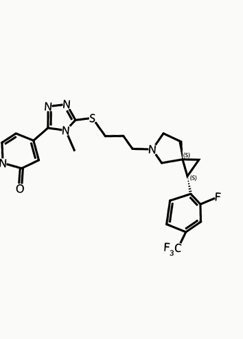 Cn1c(SCCCN2CC[C@]3(C[C@@H]3c3ccc(C(F)(F)F)cc3F)C2)nnc1-c1ccn(C)c(=O)c1